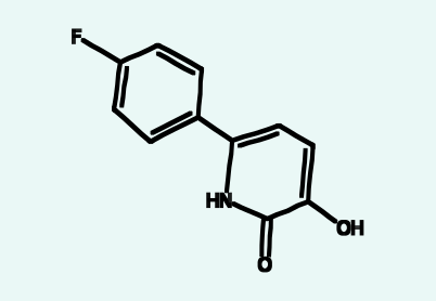 O=c1[nH]c(-c2ccc(F)cc2)ccc1O